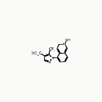 CCOC(=O)c1cnn(-c2cccc3c2=CCN(O)C=3)c1C(F)(F)F